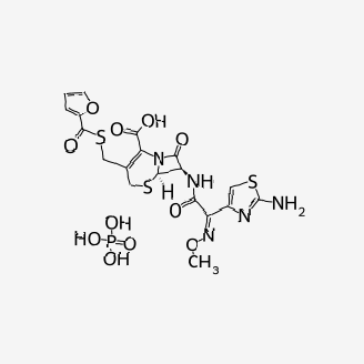 CO/N=C(\C(=O)N[C@@H]1C(=O)N2C(C(=O)O)=C(CSC(=O)c3ccco3)CS[C@H]12)c1csc(N)n1.O=P(O)(O)O